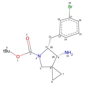 CC(C)(C)OC(=O)N1CC2(CC2)[C@@H](N)[C@H]1Cc1cccc(Br)c1